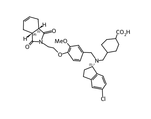 COc1cc(CN(CC2CCC(C(=O)O)CC2)[C@H]2CCc3cc(Cl)ccc32)ccc1OCCN1C(=O)[C@H]2CC=CC[C@H]2C1=O